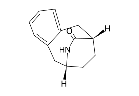 O=C1N[C@@H]2CC[C@H]1Cc1ccccc1C2